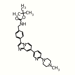 CN1CCN(c2ccc(-c3ccn4c(-c5ccc(CNC(=O)OC(C)(C)C)cc5)cnc4c3)cn2)CC1